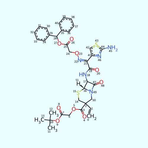 C=CC1(C(=O)OCC(=O)OC(C)(C)C)CS[C@@H]2C(NC(=O)C(=NOCC(=O)OC(c3ccccc3)c3ccccc3)c3csc(N)n3)C(=O)N2C1